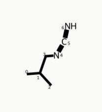 CC(C)CN=C=N